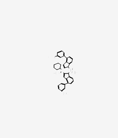 CC(C)(C)c1cccc(-c2cccc3c2C=C2[CH]3[Hf]([CH3])([CH3])[CH]3C(=Cc4c(-c5cccc(C(C)(C)C)c5)cccc43)[Si]2(C)C2CCCCC2)c1